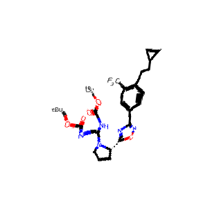 CC(C)(C)OC(=O)/N=C(\NC(=O)OC(C)(C)C)N1CCC[C@H]1c1nc(-c2ccc(CCC3CC3)c(C(F)(F)F)c2)no1